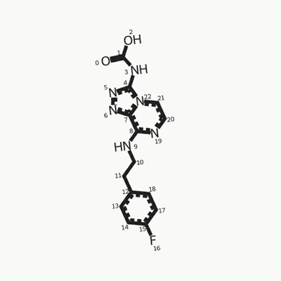 O=C(O)Nc1nnc2c(NCCc3ccc(F)cc3)nccn12